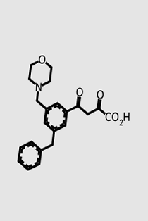 O=C(O)C(=O)CC(=O)c1cc(Cc2ccccc2)cc(CN2CCOCC2)c1